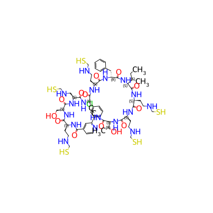 CC[C@H](C)[C@@H]1NC(=O)[C@@H](Cc2ccccc2)NC(=O)[C@H](CCNCS)NC(=O)[C@@H](NC(=O)[C@H](CNCS)NC(=O)[C@H](CO)NC(=O)[C@H](CCNCS)NC(=O)c2ccnc(-c3cccc(Cl)c3)c2)CCNC(=O)[C@H]([C@@H](C)O)NC(=O)[C@H](CCNCS)NC(=O)[C@H](CCNCS)NC1=O